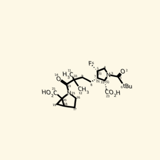 CC(C)(C)C(=O)N1C[C@@H](F)[C@@H](CCC(C)(C)C(=O)N2CCC3CC32C(=O)O)[C@H]1C(=O)O